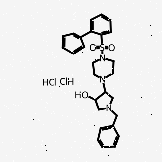 Cl.Cl.O=S(=O)(c1ccccc1-c1ccccc1)N1CCN(C2CN(Cc3ccccc3)CC2O)CC1